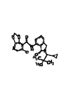 CC(C)(O)C(C1CC1)N1Cc2cccc(NC(=O)c3c(Cl)cnc4c3OCO4)c2C1=O